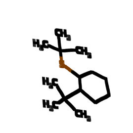 CC(C)(C)SC1CCCCC1C(C)(C)C